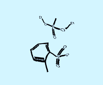 CCOP(C)(=O)OCC.Cc1ccccc1S([O])(=O)=O